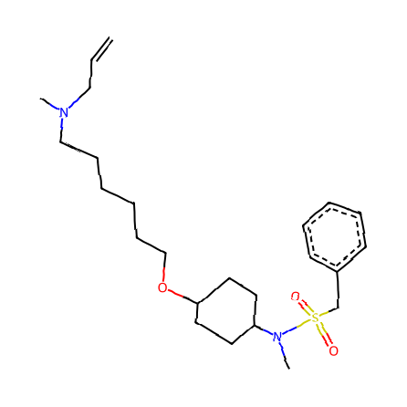 C=CCN(C)CCCCCCOC1CCC(N(C)S(=O)(=O)Cc2ccccc2)CC1